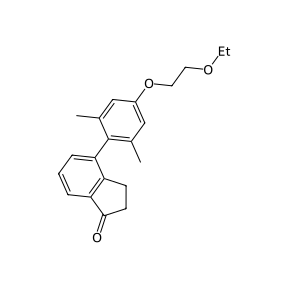 CCOCCOc1cc(C)c(-c2cccc3c2CCC3=O)c(C)c1